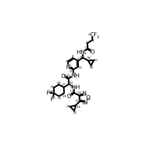 O=C(CCC(F)(F)F)NC(c1ccnc(NC(=O)[C@@H](NC(=O)c2nonc2C2CC2)C2CCC(F)(F)CC2)c1)C1CC1